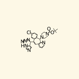 CC(C)(C)OC(=O)N1CCN(C2c3ccc(Cl)cc3C(C(N=[N+]=[N-])c3cnc[nH]3)=Cc3cccnc32)CC1